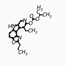 CCCc1nc2c(ccc3[nH]c4cnc(OC(=O)OC(C)C)c(CC)c4c32)o1